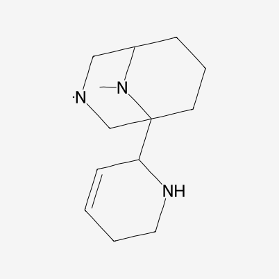 CN1C2CCCC1(C1C=CCCN1)C[N]C2